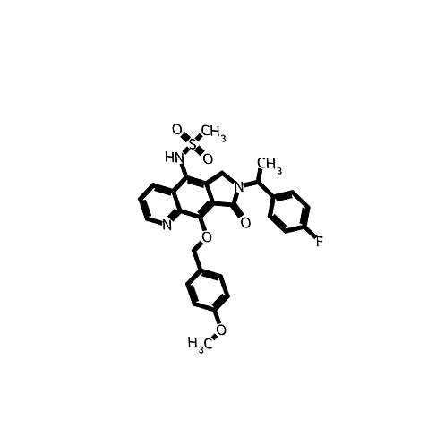 COc1ccc(COc2c3c(c(NS(C)(=O)=O)c4cccnc24)CN(C(C)c2ccc(F)cc2)C3=O)cc1